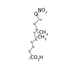 CC.O=C(O)CCCCCCCCO[N+](=O)[O-]